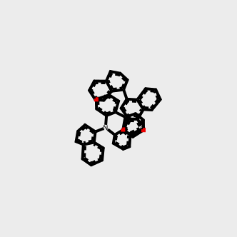 c1ccc(-c2ccccc2N(c2cccc3ccccc23)c2cccc3oc4c5ccccc5c(-c5cccc6ccccc56)cc4c23)cc1